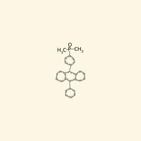 CP(C)(=O)c1ccc(-c2c3ccccc3c(-c3ccccc3)c3ccccc23)cc1